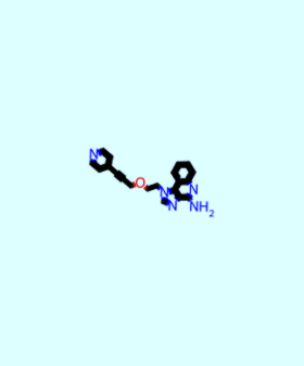 Nc1nc2ccccc2c2c1ncn2CCOCC#Cc1ccncc1